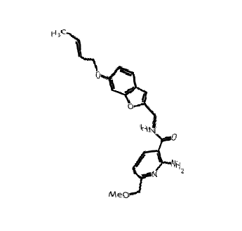 CC=CCOc1ccc2cc(CNC(=O)c3ccc(COC)nc3N)oc2c1